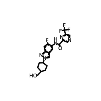 O=C(Nc1cc2cn(C3CCC(CO)CC3)nc2cc1F)c1cncc(C(F)(F)F)n1